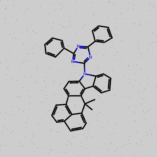 CC1(C)c2cccc3cccc(c23)-c2ccc3c(c21)c1ccccc1n3-c1nc(-c2ccccc2)nc(-c2ccccc2)n1